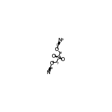 N#COCS(=O)(=O)COC#N